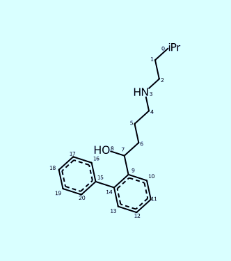 CC(C)CCNCCCC(O)c1ccccc1-c1ccccc1